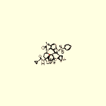 COc1ccc(-c2c(-c3cn(C)nc3OC)n(S(=O)(=O)c3ccccc3)c3ncc4c(c23)n(C2CCC(C)(NC(=O)C3CC3)CC2)c(=O)n4C)cc1